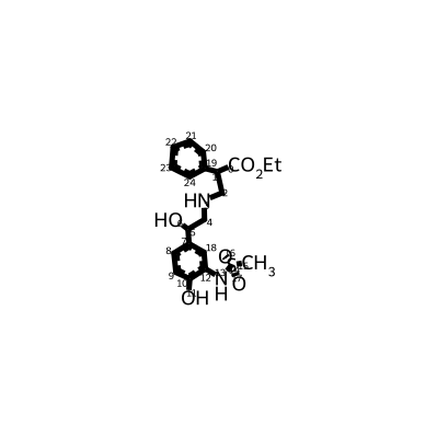 CCOC(=O)C(CNCC(O)c1ccc(O)c(NS(C)(=O)=O)c1)c1ccccc1